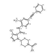 CCC(=O)N1CCC(n2ncc(Cl)c2C(=O)Nc2ncc(C#Cc3ccccc3)cc2C)CC1